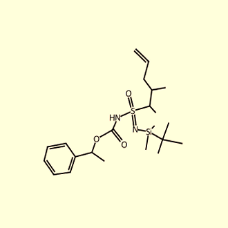 C=CCC(C)C(C)S(=O)(=N[Si](C)(C)C(C)(C)C)NC(=O)OC(C)c1ccccc1